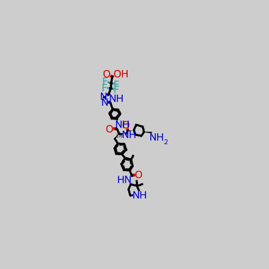 Cc1cc(C(=O)NC2CCNCC2(C)C)ccc1-c1ccc(C[C@H](NC(=O)[C@H]2CC[C@H](CN)CC2)C(=O)Nc2ccc(-c3nnc(C(F)(F)C(F)(F)C(=O)O)[nH]3)cc2)cc1